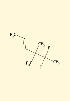 FC(F)(F)/C=C/C(C(F)(F)F)(C(F)(F)F)C(F)(F)C(F)(F)F